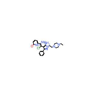 CCN1CCN(CCn2nc(-c3ccccc3)c(/C(Cl)=C(\N)c3cccc(=O)[nH]3)c2N)CC1